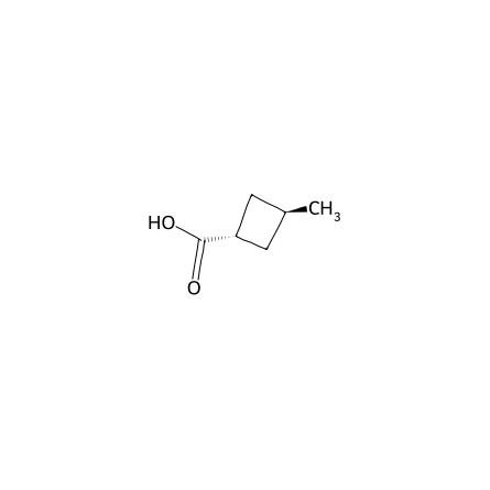 C[C@H]1C[C@H](C(=O)O)C1